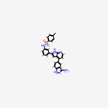 Cc1ccc(S(=O)(=O)Nc2cccc(-c3cc4c(-c5ccc6[nH]nc(N)c6c5)ccnc4[nH]3)c2)cc1